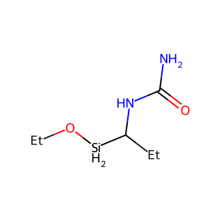 CCO[SiH2]C(CC)NC(N)=O